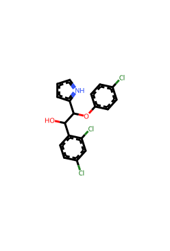 OC(c1ccc(Cl)cc1Cl)C(Oc1ccc(Cl)cc1)c1ccc[nH]1